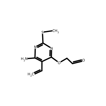 C=Cc1c(N)nc(SC)nc1OCC=O